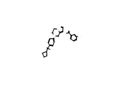 C[C@H]1Cn2ncc(NC(=O)c3cccc(C#N)c3)c2C(=O)N1c1ccc(C(F)(F)C2CCC2)cc1